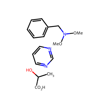 CC(O)C(=O)O.CON(Cc1ccccc1)OC.c1cncnc1